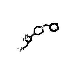 NCc1cc(C2CCN(Cc3ccccc3)CC2)no1